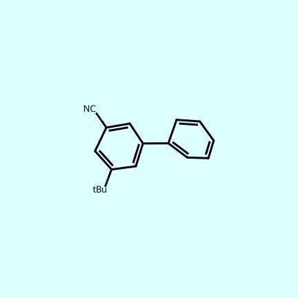 CC(C)(C)c1cc(C#N)cc(-c2ccccc2)c1